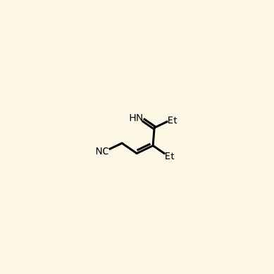 CCC(=N)/C(=C\CC#N)CC